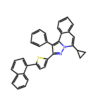 c1ccc(-c2c(-c3ccc(-c4cccc5ccccc45)s3)nn3c(C4CC4)cc4ccccc4c23)cc1